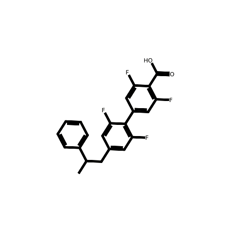 CC(Cc1cc(F)c(-c2cc(F)c(C(=O)O)c(F)c2)c(F)c1)c1ccccc1